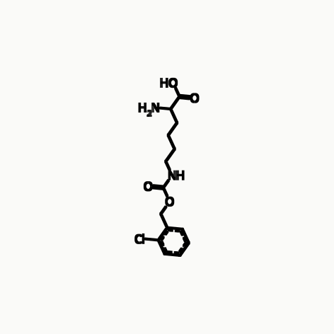 NC(CCCCNC(=O)OCc1ccccc1Cl)C(=O)O